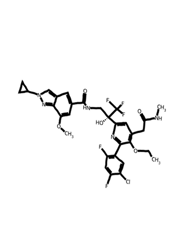 CCOc1c(CC(=O)NC)cc([C@@](O)(CNC(=O)c2cc(OC)c3nn(C4CC4)cc3c2)C(F)(F)F)nc1-c1cc(Cl)c(F)cc1F